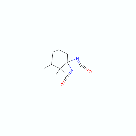 CC1CCCC(N=C=O)(N=C=O)C1(C)C